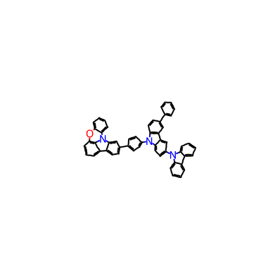 c1ccc(-c2ccc3c(c2)c2cc(-n4c5ccccc5c5ccccc54)ccc2n3-c2ccc(-c3ccc4c5cccc6c5n(c4c3)-c3ccccc3O6)cc2)cc1